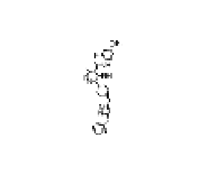 CCOc1ccc(N/C(C)=C2\C(=N)C(C3CCN(Cc4cn(Cc5ccccn5)nn4)CC3)=NN=C2C)c(F)c1